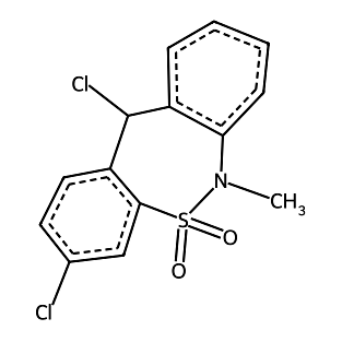 CN1c2ccccc2C(Cl)c2ccc(Cl)cc2S1(=O)=O